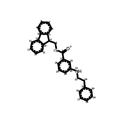 O=C(SCC1c2ccccc2-c2ccccc21)c1cccc(NCCc2ccccc2)c1